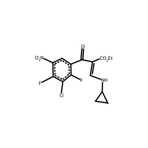 CCOC(=O)C(=CNC1CC1)C(=O)c1cc([N+](=O)[O-])c(F)c(Cl)c1F